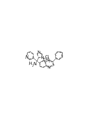 Cn1cncc1C(N)(c1cccnc1)c1ccc2ncc(-c3ccccc3)c(Cl)c2c1